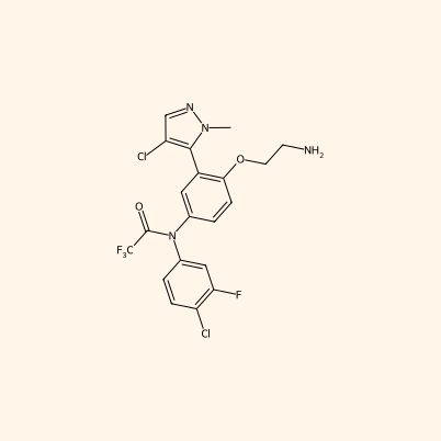 Cn1ncc(Cl)c1-c1cc(N(C(=O)C(F)(F)F)c2ccc(Cl)c(F)c2)ccc1OCCN